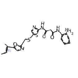 C/C=C(\C)c1cnc(CSc2cnc(NC(=O)CC(=O)Nc3ccccc3N)s2)o1